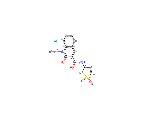 CCCCCn1c(=O)c(C(=O)NC2C=CS(=O)(=O)C2)cc2cccc(F)c21